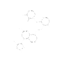 Cc1cc(-c2n[nH]cc2Cl)c2cccc(OCc3c(Cl)ccnc3Cn3cccc(F)c3=O)c2n1